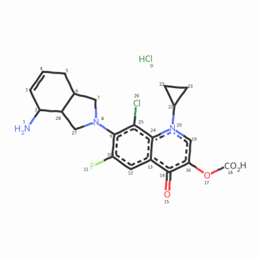 Cl.NC1C=CCC2CN(c3c(F)cc4c(=O)c(OC(=O)O)cn(C5CC5)c4c3Cl)CC12